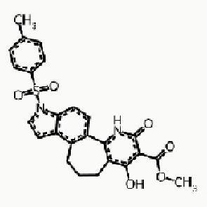 COC(=O)c1c(O)c2c([nH]c1=O)-c1ccc3c(ccn3S(=O)(=O)c3ccc(C)cc3)c1CCC2